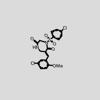 COc1ccc(Cl)cc1C=C1CNC(=O)CN(S(=O)(=O)c2ccc(Cl)cc2)C1=O